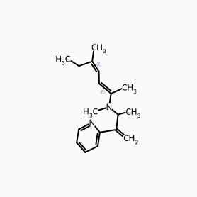 C=C(c1ccccn1)C(C)N(C)/C(C)=C/C=C(/C)CC